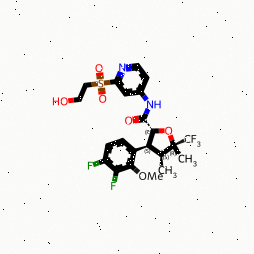 COc1c([C@H]2[C@H](C(=O)Nc3ccnc(S(=O)(=O)CCO)c3)O[C@@](C)(C(F)(F)F)[C@H]2C)ccc(F)c1F